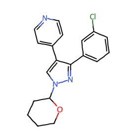 Clc1cccc(-c2nn(C3CCCCO3)cc2-c2ccncc2)c1